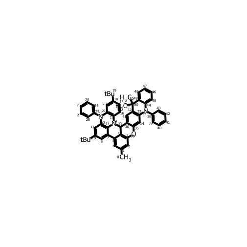 Cc1cc2c3c(c1)-c1cc(C(C)(C)C)cc4c1N(c1ccc(C(C)(C)C)cc1N4c1ccccc1)C3c1cc3c(cc1O2)N(c1ccccc1)c1ccccc1C3(C)C